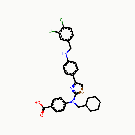 O=C(O)c1ccc(N(CC2CCCCC2)c2nc(-c3ccc(NCc4ccc(Cl)c(Cl)c4)cc3)cs2)cc1